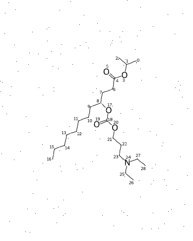 [CH2]C([CH2])OC(=O)CCC(CCCCCCCC)OC(=O)OCCCN(CC)CC